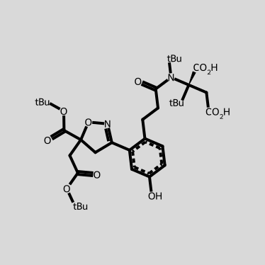 CC(C)(C)OC(=O)CC1(C(=O)OC(C)(C)C)CC(c2cc(O)ccc2CCC(=O)N(C(C)(C)C)[C@@](CC(=O)O)(C(=O)O)C(C)(C)C)=NO1